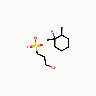 CC1CCCCC1(C)N.O=S(=O)(O)CCCO